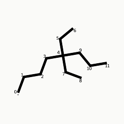 [CH2]CCCC(CC)(CC)CCC